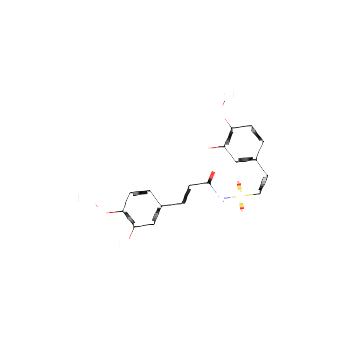 COc1ccc(/C=C\S(=O)(=O)NC(=O)/C=C/c2ccc(OC)c(O)c2)cc1O